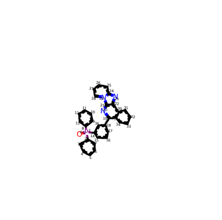 O=P(c1ccccc1)(c1ccccc1)c1cccc(-c2nc3c(nc4ccccn43)c3ccccc23)c1